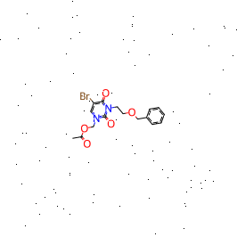 CC(=O)OCn1cc(Br)c(=O)n(CCOCc2ccccc2)c1=O